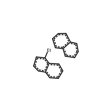 CCc1cccc2ccccc12.c1ccc2ccccc2c1